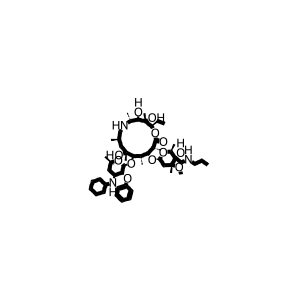 CCCNC[C@]1(O)[C@H](C)O[C@@H](O[C@H]2[C@H](C)[C@@H](O[C@@H]3O[C@H](C)C[C@H](NC4CCCCC4)[C@H]3Oc3ccccc3)[C@](C)(O)C[C@@H](C)CN[C@H](C)[C@@H](O)[C@](C)(O)[C@@H](CC)OC(=O)[C@@H]2C)C[C@@]1(C)OC